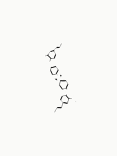 CC=Cc1ccc(Oc2ccc(S(=O)(=O)c3ccc(Oc4ccc(C=CC)cc4OC)cc3)cc2)c(OC)c1